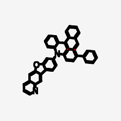 c1ccc(-c2ccc(N(c3ccc4c(c3)oc3cc5cccnc5cc34)c3ccccc3-c3cccc4ccccc34)cc2)cc1